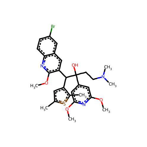 COc1cc(C(O)(CCN(C)C)C(c2cc3cc(Br)ccc3nc2OC)c2cc(C)sc2C)cc(OC)n1